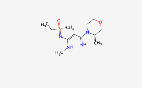 CCS(C)(=O)=N/C(=C/C(=N)N1CCOC[C@H]1C)NC